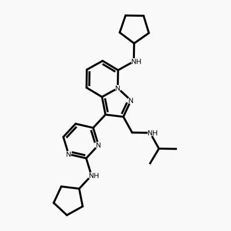 CC(C)NCc1nn2c(NC3CCCC3)cccc2c1-c1ccnc(NC2CCCC2)n1